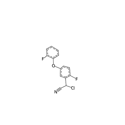 N#CC(Cl)c1cc(Oc2ccccc2F)ccc1F